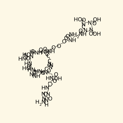 C[C@H](O)[C@H]1NC(=O)[C@@H](Cc2cnc[nH]2)NC(=O)[C@@H](CO)NC(=O)[C@@H](Cc2cnc[nH]2)NC(=O)[C@@H](NC(=O)CC[C@H](NC(=O)c2ccc(NCc3cnc4nc(N)[nH]c(=O)c4n3)cc2)C(=O)O)Cc2cn(nn2)CCCC[C@@H](C(=O)NCCOCCOCCOCC(=O)N[C@@H](CCCCNC(=O)CN2CCN(CC(=O)O)CCN(CC(=O)O)CCN(CC(=O)O)CC2)C(N)=O)NC(=O)[C@@H](C)NC1=O